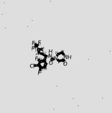 O=C1CN(C(=O)N[C@H](c2ccc(F)c(Cl)c2F)[C@H]2C[C@H](C(F)(F)F)C2)CCN1